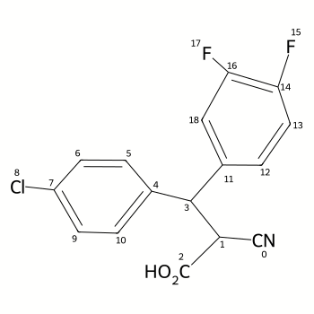 N#CC(C(=O)O)C(c1ccc(Cl)cc1)c1ccc(F)c(F)c1